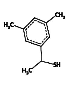 Cc1cc(C)cc(C(C)S)c1